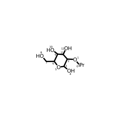 CC(C)OC1C(O)OC(CO)C(O)C1O